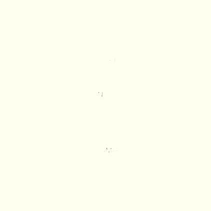 C=CC(=O)N1CCCC[C@@H](SC)C1